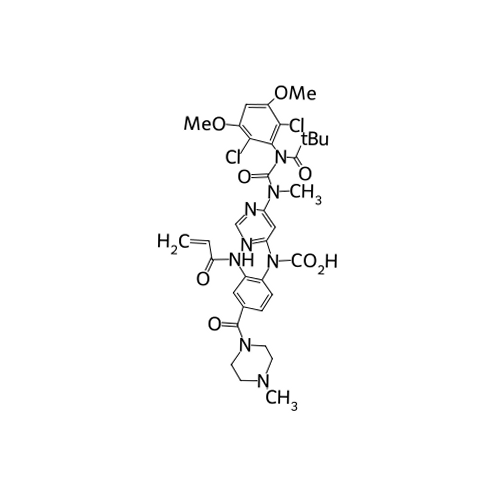 C=CC(=O)Nc1cc(C(=O)N2CCN(C)CC2)ccc1N(C(=O)O)c1cc(N(C)C(=O)N(C(=O)C(C)(C)C)c2c(Cl)c(OC)cc(OC)c2Cl)ncn1